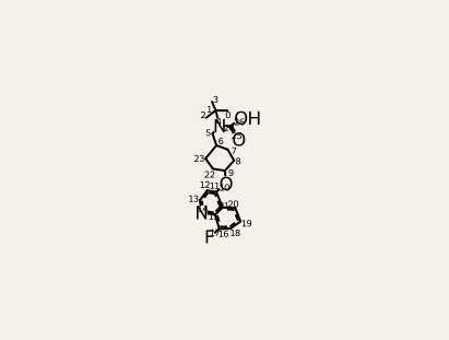 CC(C)(C)N(CC1CCC(Oc2ccnc3c(F)cccc23)CC1)C(=O)O